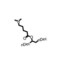 CCCCCCCCCCCC(CCCCCCCCCC)OC(=O)CCCCN(C)C